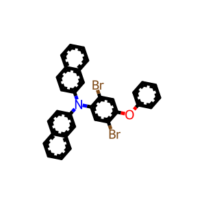 Brc1cc(N(c2ccc3ccccc3c2)c2ccc3ccccc3c2)c(Br)cc1Oc1ccccc1